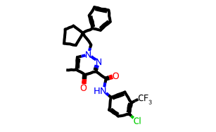 Cc1cn(CC2(c3ccccc3)CCCC2)nc(C(=O)Nc2ccc(Cl)c(C(F)(F)F)c2)c1=O